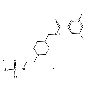 CC(C)(C)S(=O)(=O)NCCN1CCC(CNC(=O)c2cc(F)cc(C(F)(F)F)c2)CC1